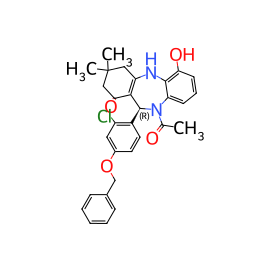 CC(=O)N1c2cccc(O)c2NC2=C(C(=O)CC(C)(C)C2)[C@@H]1c1ccc(OCc2ccccc2)cc1Cl